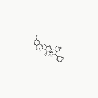 Cc1ccc(F)cc1N1C=C2N=C(C3CNCC3C(C)c3cnccn3)NC(=O)N2C1